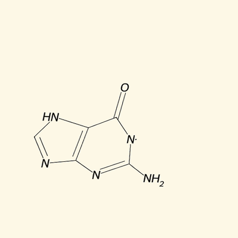 NC1=Nc2nc[nH]c2C(=O)[N]1